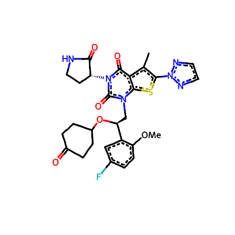 COc1ccc(F)cc1[C@H](Cn1c(=O)n([C@@H]2CCNC2=O)c(=O)c2c(C)c(-n3nccn3)sc21)OC1CCC(=O)CC1